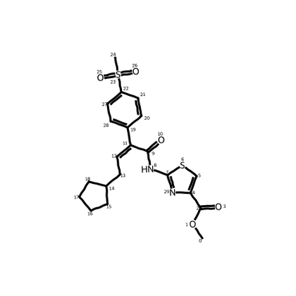 COC(=O)c1csc(NC(=O)C(=CCC2CCCC2)c2ccc(S(C)(=O)=O)cc2)n1